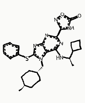 C[C@@H](Nc1nc(-c2noc(=O)[nH]2)nc2nc(Sc3ccccc3)n(C[C@H]3CC[C@H](C)CC3)c12)C1CCC1